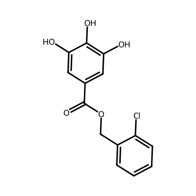 O=C(OCc1ccccc1Cl)c1cc(O)c(O)c(O)c1